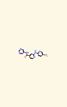 O=C(Nc1cncnc1)c1ccnc(Nc2ccc(C(F)(F)F)cn2)c1